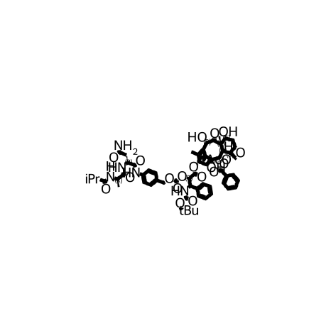 CC(=O)O[C@@]12COC1C[C@H](O)[C@@]1(C)C(=O)[C@H](O)C3=C(C)[C@@H](OC(=O)[C@H](OC(=O)OCc4ccc(NC(=O)[C@@H](CC(N)=O)NC(=O)[C@@H](C)NC(=O)C(C)C)cc4)C(NC(=O)OC(C)(C)C)c4ccccc4)C[C@@](O)([C@@H](OC(=O)c4ccccc4)[C@@H]12)C3(C)C